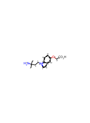 CC(C)(N)CCn1ccc2cc(OCC(=O)O)ccc21